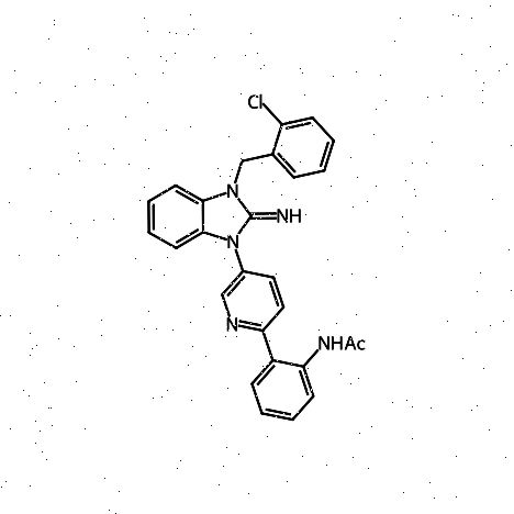 CC(=O)Nc1ccccc1-c1ccc(-n2c(=N)n(Cc3ccccc3Cl)c3ccccc32)cn1